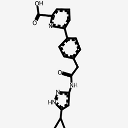 O=C(Cc1ccc(-c2cccc(C(=O)O)n2)cc1)Nc1cc(C2CC2)[nH]n1